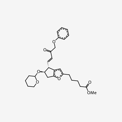 COC(=O)CCCCc1cc2c(o1)C[C@@H](OC1CCCCO1)[C@@H]2C=CC(=O)COc1ccccc1